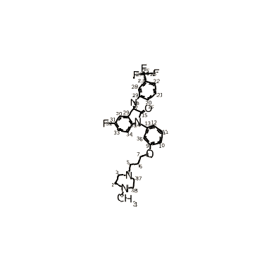 CN1CCN(CCCOc2cccc(N3C(=O)C(=Nc4cccc(C(F)(F)F)c4)c4cc(F)ccc43)c2)CC1